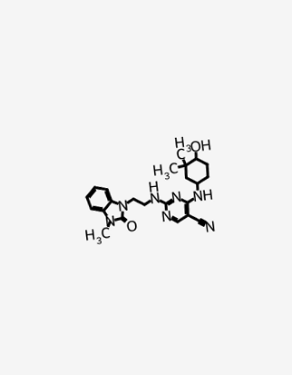 Cn1c(=O)n(CCNc2ncc(C#N)c(NC3CCC(O)C(C)(C)C3)n2)c2ccccc21